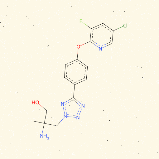 CC(N)(CO)Cn1nnc(-c2ccc(Oc3ncc(Cl)cc3F)cc2)n1